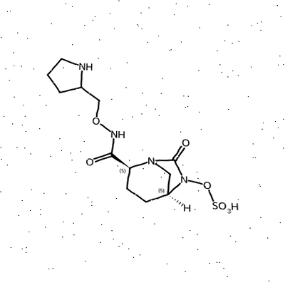 O=C(NOCC1CCCN1)[C@@H]1CC[C@H]2CN1C(=O)N2OS(=O)(=O)O